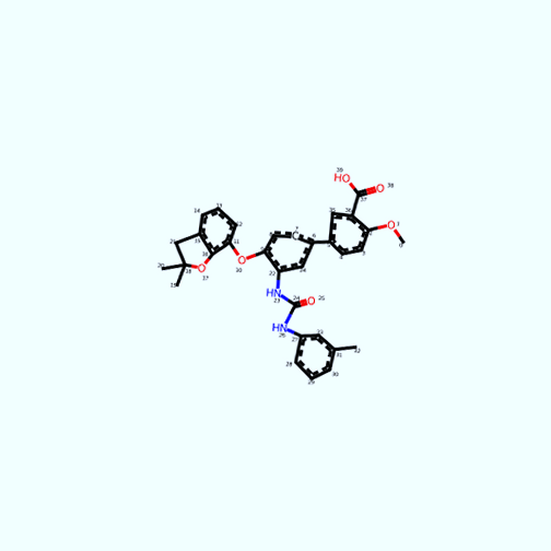 COc1ccc(-c2ccc(Oc3cccc4c3OC(C)(C)C4)c(NC(=O)Nc3cccc(C)c3)c2)cc1C(=O)O